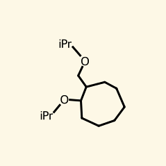 CC(C)OCC1CCCCCCC1OC(C)C